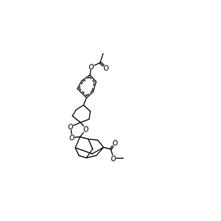 COC(=O)C12CC3CC(C1)C1(OOC4(CCC(c5ccc(OC(C)=O)cc5)CC4)O1)C(C3)C2